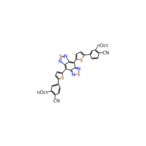 CCCCCCCCc1cc(-c2ccc(-c3c4c(c(-c5ccc(-c6ccc(C#N)c(CCCCCCCC)c6)s5)c5nsnc35)N=S=N4)s2)ccc1C#N